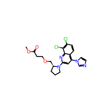 COC(=O)CCOC[C@@H]1CCCN1c1cc(-n2ccnc2)c2ccc(Cl)c(Cl)c2n1